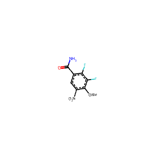 COc1c([N+](=O)[O-])cc(C(N)=O)c(F)c1F